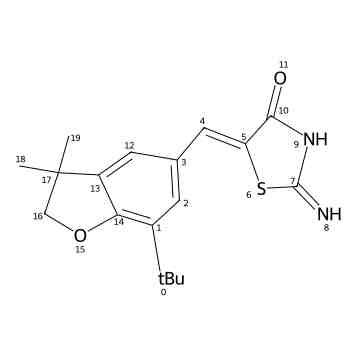 CC(C)(C)c1cc(/C=C2\SC(=N)NC2=O)cc2c1OCC2(C)C